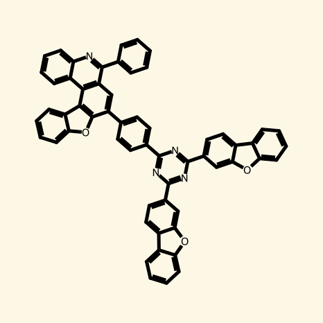 c1ccc(-c2nc3ccccc3c3c2cc(-c2ccc(-c4nc(-c5ccc6c(c5)oc5ccccc56)nc(-c5ccc6c(c5)oc5ccccc56)n4)cc2)c2oc4ccccc4c23)cc1